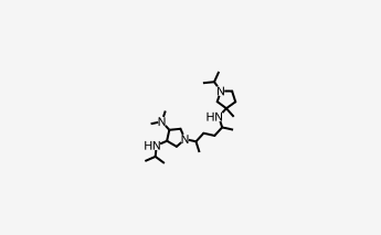 CC(C)NC1CN(C(C)CCC(C)NC2(C)CCN(C(C)C)C2)CC1N(C)C